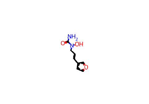 NC(=O)N(O)CC=Cc1ccoc1